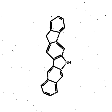 c1ccc2c(c1)Cc1cc3c(cc1-2)[nH]c1cc2ccccc2cc13